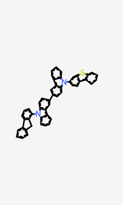 c1ccc2c(c1)Cc1c-2cccc1-n1c2ccccc2c2cc(-c3ccc4c(c3)c3ccccc3n4-c3ccc4c(c3)sc3ccccc34)ccc21